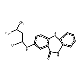 CC(C)CC(C)Nc1ccc2c(c1)C(=O)Nc1ccccc1N2